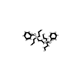 CCC[Si](CCC)(CCC[Si](CCC)(CCC)Oc1ccccc1)Oc1ccccc1